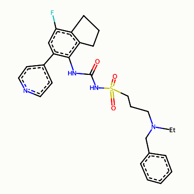 CCN(CCCS(=O)(=O)NC(=O)Nc1c(-c2ccncc2)cc(F)c2c1CCC2)Cc1ccccc1